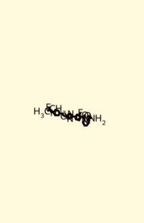 CC(C)(F)CN1CCC(COc2cnc(-c3ccc(C(=O)N4CCCCC4C(N)=O)c(F)c3)nc2)CC1